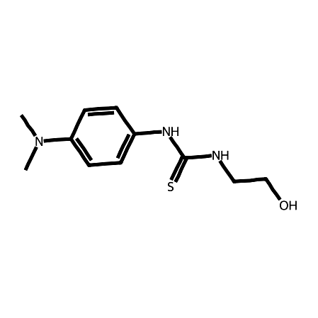 CN(C)c1ccc(NC(=S)NCCO)cc1